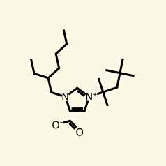 CCCCC(CC)Cn1cc[n+](C(C)(C)CC(C)(C)C)c1.O=C[O-]